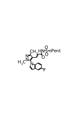 CCCCCS(=O)(=O)NC(=O)/C=C/c1c(C)nn(C)c1-n1ccc2cc(F)ccc21